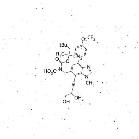 Cn1cnc2c(-c3ccc(OC(F)(F)F)cc3)cc(CN(C(=O)O)C(=O)OC(C)(C)CC(C)(C)C)c(C#CC(O)CO)c21